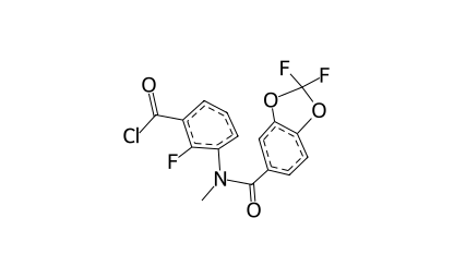 CN(C(=O)c1ccc2c(c1)OC(F)(F)O2)c1cccc(C(=O)Cl)c1F